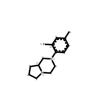 Cc1ccc(N2CCN3CCCC3C2)c(F)c1